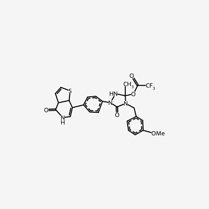 COc1cccc(CN2C(=O)N(c3ccc(C4=CNC(=O)C5C=CSC45)cc3)NC2(C)OC(=O)C(F)(F)F)c1